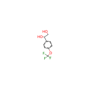 OCC(O)c1ccc(OC(F)(F)F)cc1